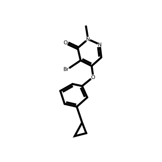 Cn1ncc(Oc2cccc(C3CC3)c2)c(Br)c1=O